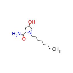 CCCCCCCCN1CC(O)CC1C(N)=O